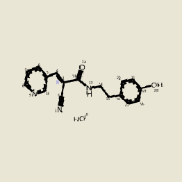 Cl.N#C/C(=C\c1cccnc1)C(=O)NCCc1ccc(O)cc1